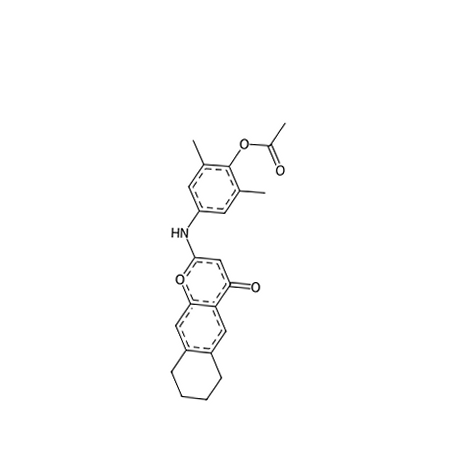 CC(=O)Oc1c(C)cc(Nc2cc(=O)c3cc4c(cc3o2)CCCC4)cc1C